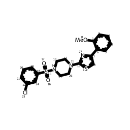 COc1ccccc1-c1csc(N2CCN(S(=O)(=O)c3cccc(Cl)c3)CC2)n1